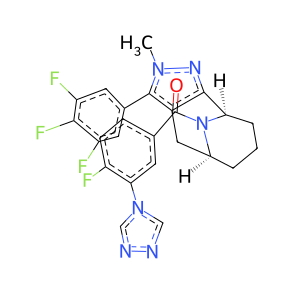 Cn1nc2c(c1-c1cc(F)c(F)c(F)c1)C[C@@H]1CCC[C@H]2N1C(=O)c1ccc(F)c(-n2cnnc2)c1